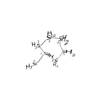 [SiH3][SiH]1[SiH2][SiH2][SiH2][SiH2][SiH2]1